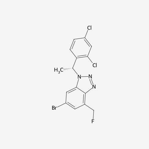 C[C@H](c1ccc(Cl)cc1Cl)n1nnc2c(CF)cc(Br)cc21